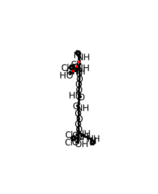 O=C(O)CC(NC(=O)[C@H](COCCOCCOCCOCCNC(=O)CCCCC(=O)NCCOCCOCCOCCOC[C@H](NC(=O)CCCCNc1ccccn1)C(=O)NC(CC(=O)O)c1cc(Cl)cc(Cl)c1)NC(=O)CCCCNc1ccccn1)c1cc(Cl)cc(Cl)c1